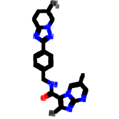 CCc1nc2ncc(C)cn2c1C(=O)NCc1ccc(-c2nc3n(n2)CC(C(F)(F)F)CC3)cc1